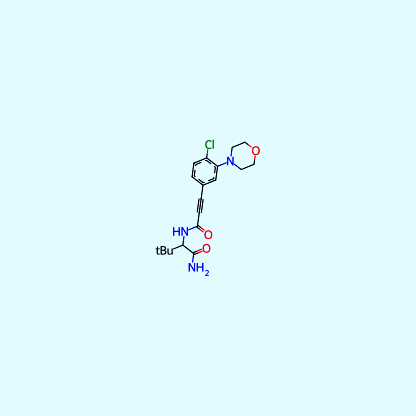 CC(C)(C)C(NC(=O)C#Cc1ccc(Cl)c(N2CCOCC2)c1)C(N)=O